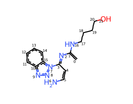 C=C(/N=C(\C=C/N)n1nnc2ccccc21)NCCCCO